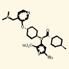 CN(C)Cc1ccncc1O[C@H]1CC[C@H](N(c2cc(C(C)(C)C)sc2C(=O)O)C(=O)[C@H]2CC[C@H](C)CC2)CC1